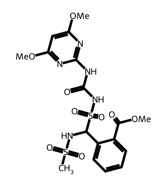 COC(=O)c1ccccc1C(NS(C)(=O)=O)S(=O)(=O)NC(=O)Nc1nc(OC)cc(OC)n1